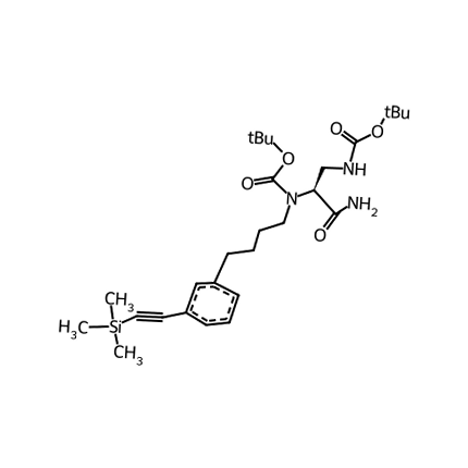 CC(C)(C)OC(=O)NC[C@@H](C(N)=O)N(CCCCc1cccc(C#C[Si](C)(C)C)c1)C(=O)OC(C)(C)C